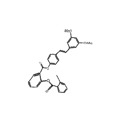 COc1cc(/C=C/c2ccc(OC(=O)c3ccccc3OC(=O)c3ccccc3C)cc2)cc(OC)c1